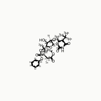 [2H]c1c(C([2H])([2H])[2H])c(=O)[nH]c(=O)n1[C@@H]1O[C@H](C([2H])([2H])OP(=O)(N[C@@H](C)C(=O)OC(C)C)Oc2ccccc2)[C@@H](O)[C@@]1(C)O